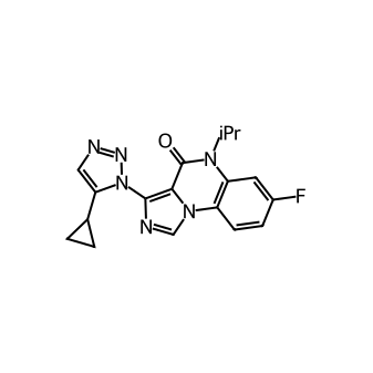 CC(C)n1c(=O)c2c(-n3nncc3C3CC3)ncn2c2ccc(F)cc21